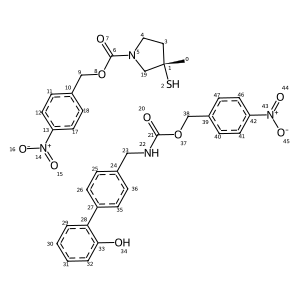 C[C@]1(S)CCN(C(=O)OCc2ccc([N+](=O)[O-])cc2)C1.O=C(NCc1ccc(-c2ccccc2O)cc1)OCc1ccc([N+](=O)[O-])cc1